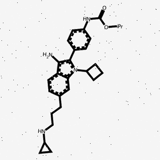 CC(C)OC(=O)Nc1ccc(-c2c(N)c3ccc(CCCNC4CC4)cc3n2C2CCC2)cc1